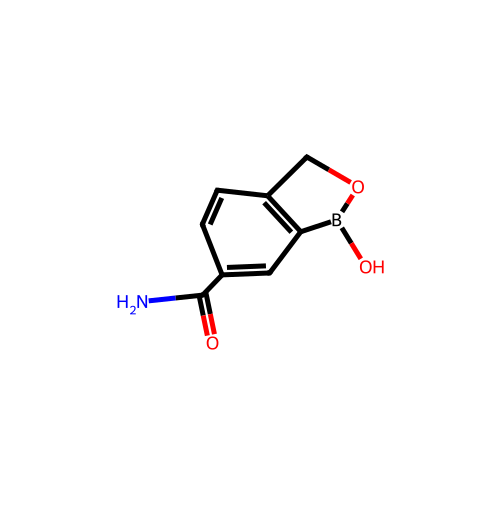 NC(=O)c1ccc2c(c1)B(O)OC2